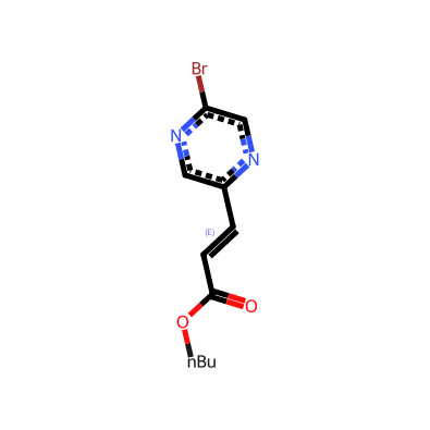 CCCCOC(=O)/C=C/c1cnc(Br)cn1